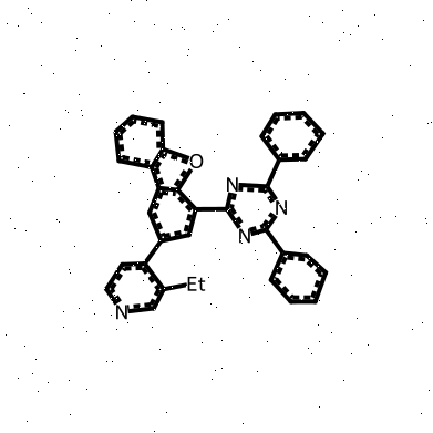 CCc1cnccc1-c1cc(-c2nc(-c3ccccc3)nc(-c3ccccc3)n2)c2oc3ccccc3c2c1